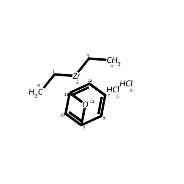 C[CH2][Zr][CH2]C.Cl.Cl.c1cc2cc(c1)O2